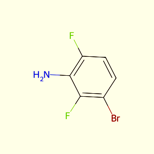 Nc1c(F)ccc(Br)c1F